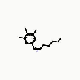 CCCCC/C=[C]\c1cc(C)c(C)c(C)c1